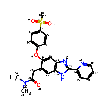 CCS(=O)(=O)c1ccc(Oc2cc3nc(-c4ccccn4)[nH]c3cc2CC(=O)N(C)C)cc1